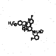 COc1ccc(CN(Sc2c(F)cc(NCc3c(F)cccc3CN3CCC3)cc2F)c2cccc(F)n2)c(OC)c1